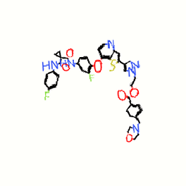 O=C(OCCn1cc(-c2cc3nccc(Oc4ccc(NC(=O)C5(C(=O)Nc6ccc(F)cc6)CC5)cc4F)c3s2)cn1)c1ccc(CN2CCOCC2)cc1